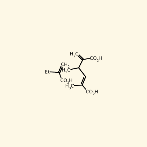 C=C(C(=O)O)C(C)C=C(C)C(=O)O.C=C(CC)C(=O)O